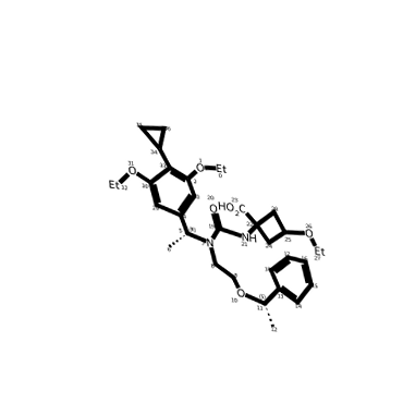 CCOc1cc([C@@H](C)N(CCO[C@@H](C)c2ccccc2)C(=O)NC2(C(=O)O)CC(OCC)C2)cc(OCC)c1C1CC1